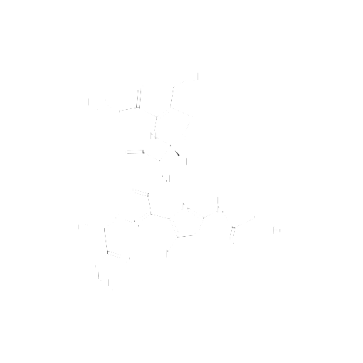 BOC(=O)C1=C(CCl)CO[C@@H]2[C@H](NC(=O)/C(=N\O[C@H](C(=O)OB)C(C)C)c3nc(NC(=O)OC(C)(C)C)sc3Cl)C(=O)N12